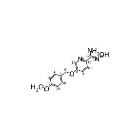 COc1ccc(COc2ccc(/C(N)=N/O)nc2)cc1